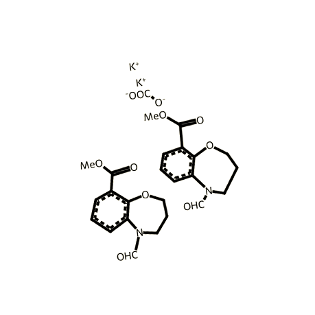 COC(=O)c1cccc2c1OCCCN2C=O.COC(=O)c1cccc2c1OCCCN2C=O.O=C([O-])[O-].[K+].[K+]